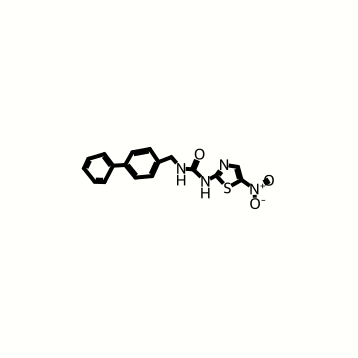 O=C(NCc1ccc(-c2ccccc2)cc1)Nc1ncc([N+](=O)[O-])s1